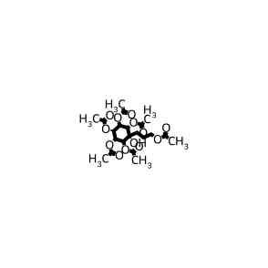 CC(=O)OCCC[C@]1(O)C(OC(C)=O)C(OC(C)=O)[C@H](OC(C)=O)C(OC(C)=O)C1OC(C)=O